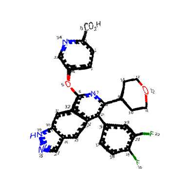 O=C(O)c1ccc(Oc2nc(C3CCOCC3)c(-c3ccc(F)c(F)c3)c3cc4cn[nH]c4cc23)cn1